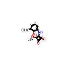 CCOc1c(Nc2cccc(C=O)c2O)c(=O)c1=O